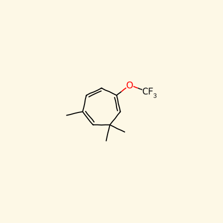 CC1=CC(C)(C)C=C(OC(F)(F)F)C=C1